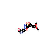 CCCOc1ccc(-c2ccc3c(c2)C=C(C(=O)Nc2ccc(CN(C)C4CCOCC4)cc2)CCS3(=O)=O)cc1OCC